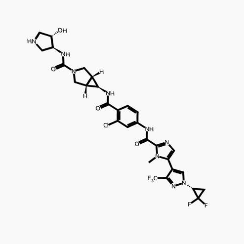 Cn1c(-c2cn([C@@H]3CC3(F)F)nc2C(F)(F)F)cnc1C(=O)Nc1ccc(C(=O)N[C@H]2[C@@H]3CN(C(=O)N[C@H]4CNC[C@@H]4O)C[C@@H]32)c(Cl)c1